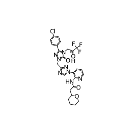 O=C(CC1CCCCO1)Nc1ncccc1-n1cnc(Cn2nc(-c3ccc(Cl)cc3)n(C[C@H](O)C(F)(F)F)c2=O)n1